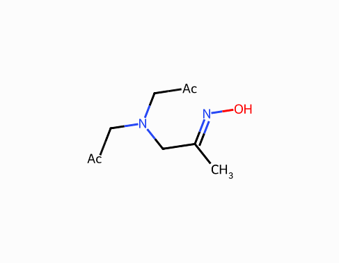 CC(=O)CN(CC(C)=O)CC(C)=NO